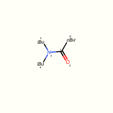 CCC[CH]C(=O)N(C(C)CC)C(C)CC